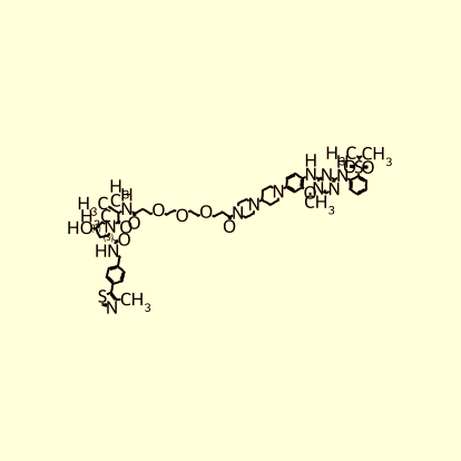 COc1cc(N2CCC(N3CCN(C(=O)CCOCCOCCOCCC(=O)NC(C(=O)N4C[C@H](O)C[C@H]4C(=O)NCc4ccc(-c5scnc5C)cc4)C(C)(C)C)CC3)CC2)ccc1Nc1ncnc(Nc2ccccc2S(=O)(=O)C(C)C)n1